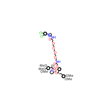 CC[C@H](C(=O)N1CCCC[C@H]1C(=O)O[C@@H](CCc1ccc(OC)c(OC)c1)c1cccc(OCC(=O)NCCOCCOCCOCCOCCC(=O)NC2=NN(c3ccc(Cl)c(Cl)c3)CC2)c1)c1cc(OC)c(OC)c(OC)c1